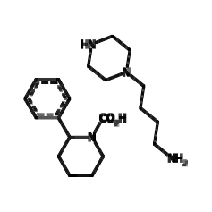 NCCCCN1CCNCC1.O=C(O)N1CCCCC1c1ccccc1